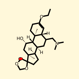 CCOC1=C[C@@H]2C(CN(C)C)C[C@@H]3[C@H]([C@@H](O)C[C@@]4(C)[C@@H]3CCC43OCOC34COCO4)[C@@]2(C)CC1